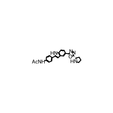 CC(=O)Nc1ccc(-c2cc3cc(-c4nnc([C@@H]5CCCN5)o4)ccc3[nH]2)cc1